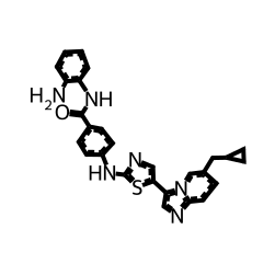 Nc1ccccc1NC(=O)c1ccc(Nc2ncc(-c3cnc4ccc(CC5CC5)cn34)s2)cc1